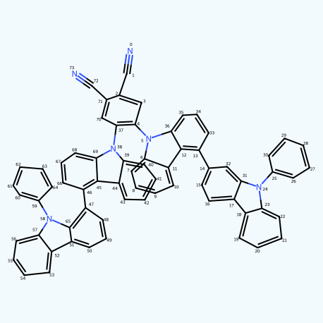 N#Cc1cc(-n2c3ccccc3c3c(-c4ccc5c6ccccc6n(-c6ccccc6)c5c4)cccc32)c(-n2c3ccccc3c3c(-c4cccc5c6ccccc6n(-c6ccccc6)c45)cccc32)cc1C#N